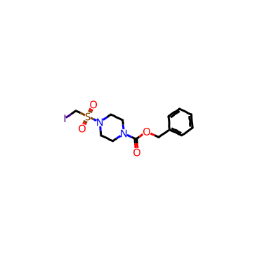 O=C(OCc1ccccc1)N1CCN(S(=O)(=O)CI)CC1